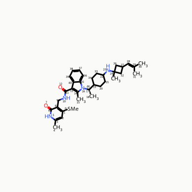 CSc1cc(C)[nH]c(=O)c1CNC(=O)c1c(C)n([C@H](C)C2CCC(NC3(C)CC(C=C(C)C)C3)CC2)c2ccccc12